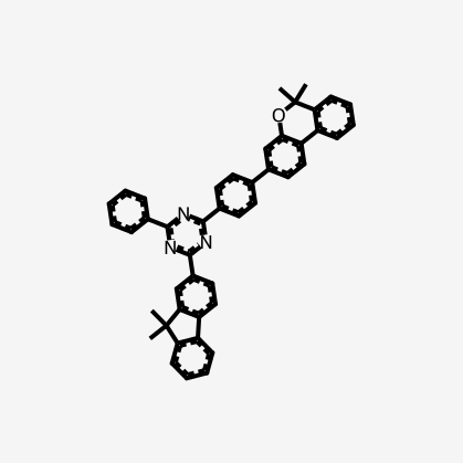 CC1(C)Oc2cc(-c3ccc(-c4nc(-c5ccccc5)nc(-c5ccc6c(c5)C(C)(C)c5ccccc5-6)n4)cc3)ccc2-c2ccccc21